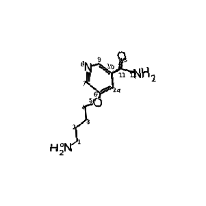 NCCCCOc1cncc(C(N)=O)c1